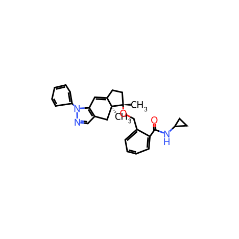 C[C@]12Cc3cnn(-c4ccccc4)c3C=C1CC[C@]2(C)OCc1ccccc1C(=O)NC1CC1